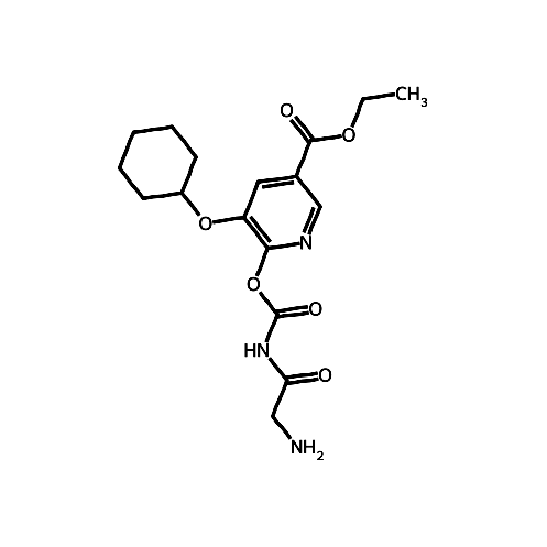 CCOC(=O)c1cnc(OC(=O)NC(=O)CN)c(OC2CCCCC2)c1